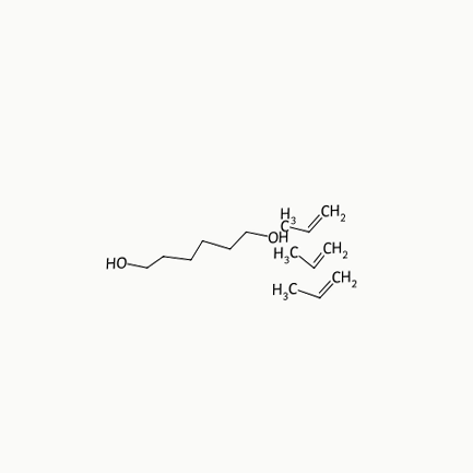 C=CC.C=CC.C=CC.OCCCCCCO